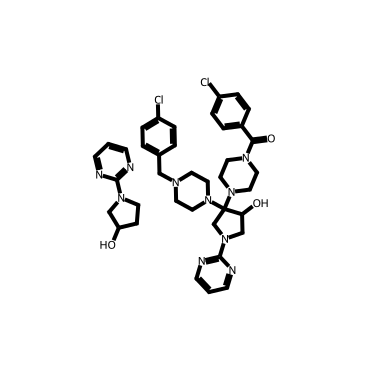 O=C(c1ccc(Cl)cc1)N1CCN(C2(N3CCN(Cc4ccc(Cl)cc4)CC3)CN(c3ncccn3)CC2O)CC1.OC1CCN(c2ncccn2)C1